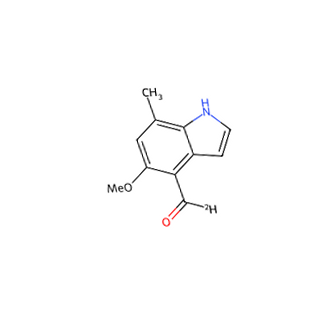 [2H]C(=O)c1c(OC)cc(C)c2[nH]ccc12